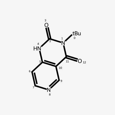 CC(C)(C)n1c(=O)[nH]c2ccncc2c1=O